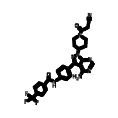 N#CCC(=O)N1CCC(n2nc(-c3ccc(NC(=O)c4ccc(C(F)(F)F)cc4)cc3)c3c(N)ncnc32)CC1